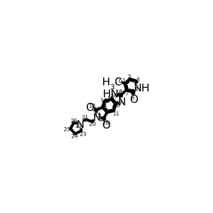 Cc1cc[nH]c(=O)c1-c1nc2cc3c(cc2[nH]1)C(=O)N(CCN1CCCC1)C3=O